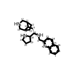 c1ccc2nc(CN[C@@H](CC3C4CCC3CNC4)C3CCCN3)ccc2c1